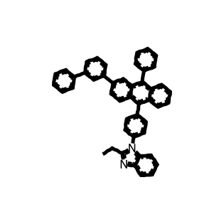 CCc1nc2ccccc2n1-c1ccc(-c2c3ccccc3c(-c3ccccc3)c3cc(-c4cccc(-c5ccccc5)c4)ccc23)cc1